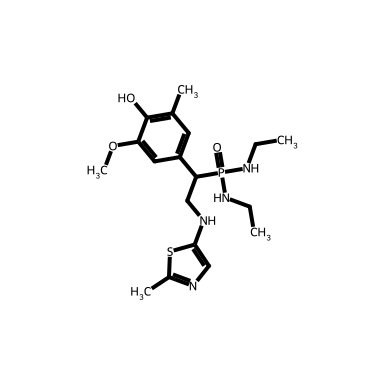 CCNP(=O)(NCC)C(CNc1cnc(C)s1)c1cc(C)c(O)c(OC)c1